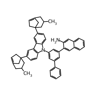 CC1CC2=CCC(c3ccc4c(c3)c3cc(C56CC=C(CC(C)C5)C6)ccc3n4-c3cc(-c4ccccc4)cc(-c4cc5ccccc5cc4N)c3)(C2)C1